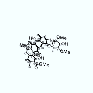 C=C1C=C(N[C@H]2O[C@@H](C)[C@H](OC)[C@@H](O)[C@H]2OC)C(=O)c2cc3c(c(O)c21)C(=O)[C@]1(OC)[C@H](O)Cc2cc(C)c(C(=O)OC)c(O)c2[C@]1(O)C3=O